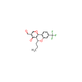 CCCC1Oc2cc(C(F)(F)F)ccc2-c2occ(C=O)c(=O)c21